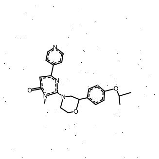 CC(C)Oc1ccc(C2CN(c3nc(-c4ccncc4)cc(=O)n3C)CCO2)cc1